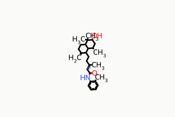 C=C1CCC2C(C(C)CC(O)C2(C)C)C1CC/C(C)=C/C(=O)Nc1ccccc1C